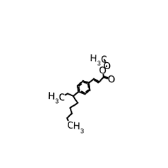 CCCCCC(CC)c1ccc(C=CC(=O)OOC)cc1